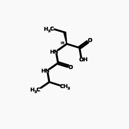 CC[C@H](NC(=O)NC(C)C)C(=O)O